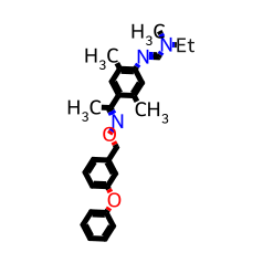 CCN(C)C=Nc1cc(C)c(C(C)=NOCc2cccc(Oc3ccccc3)c2)cc1C